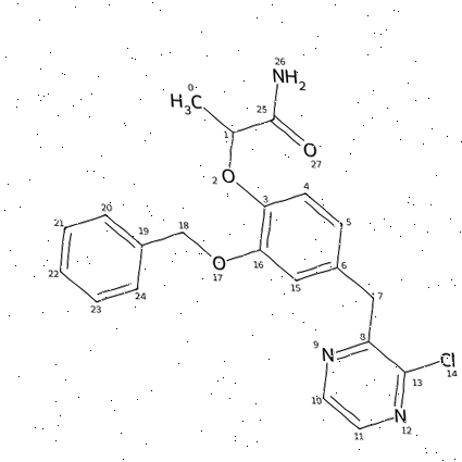 CC(Oc1ccc([CH]c2nccnc2Cl)cc1OCc1ccccc1)C(N)=O